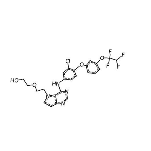 OCCOCCn1ccc2ncnc(Nc3ccc(Oc4cccc(OC(F)(F)C(F)F)c4)c(Cl)c3)c21